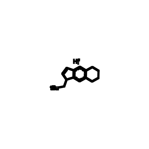 CC(C)(C)CC1C=Cc2cc3c(cc21)CCCC3.[Hf]